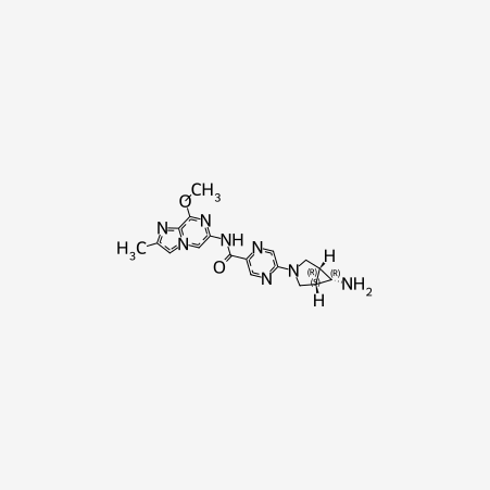 COc1nc(NC(=O)c2cnc(N3C[C@@H]4[C@H](N)[C@@H]4C3)cn2)cn2cc(C)nc12